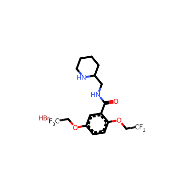 Br.O=C(NCC1CCCCN1)c1cc(OCC(F)(F)F)ccc1OCC(F)(F)F